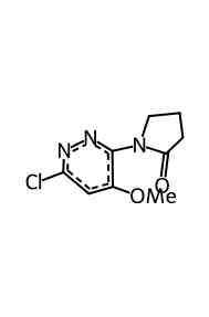 COc1cc(Cl)nnc1N1CCCC1=O